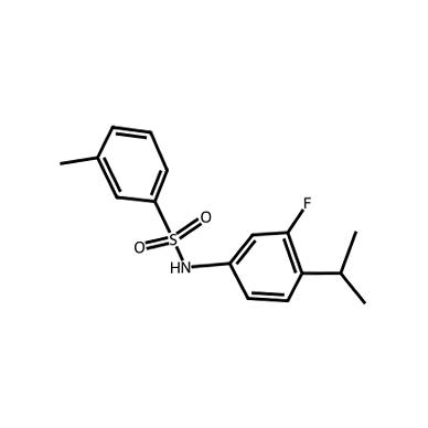 Cc1cccc(S(=O)(=O)Nc2ccc(C(C)C)c(F)c2)c1